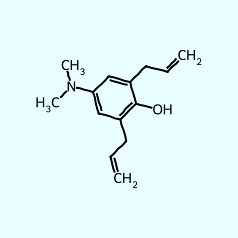 C=CCc1cc(N(C)C)cc(CC=C)c1O